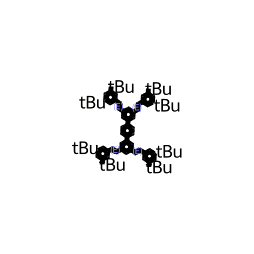 CC(C)(C)c1cc(/C=C/c2cc(/C=C/c3cc(C(C)(C)C)cc(C(C)(C)C)c3)cc(-c3ccc(-c4cc(/C=C/c5cc(C(C)(C)C)cc(C(C)(C)C)c5)cc(/C=C/c5cc(C(C)(C)C)cc(C(C)(C)C)c5)c4)cc3)c2)cc(C(C)(C)C)c1